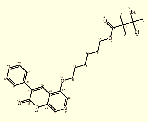 CCC(C)(C(C)(C)C)C(C)(C)C(=O)OCCCCCCOc1cncc2oc(=O)c(-c3ccccc3)cc12